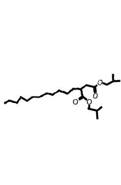 CCCCCCCCCCCCC(CC(=O)OCC(C)C)C(=O)OCC(C)C